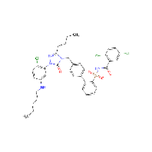 CCCCCNc1ccc(Cl)c(-n2nc(CCCC)n(Cc3ccc(-c4ccccc4S(=O)(=O)NC(=O)c4cc(Cl)ccc4Cl)cc3)c2=O)c1